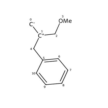 [CH2-][C+](COC)Cc1ccccc1